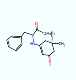 COC(=O)C(Cc1ccccc1)NC1=CC(=O)CC(C)(C)C1